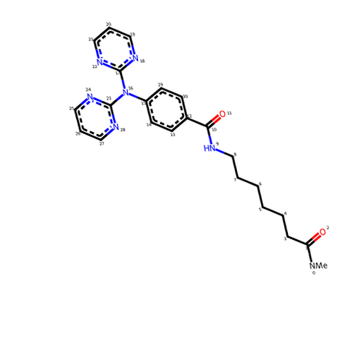 CNC(=O)CCCCCCNC(=O)c1ccc(N(c2ncccn2)c2ncccn2)cc1